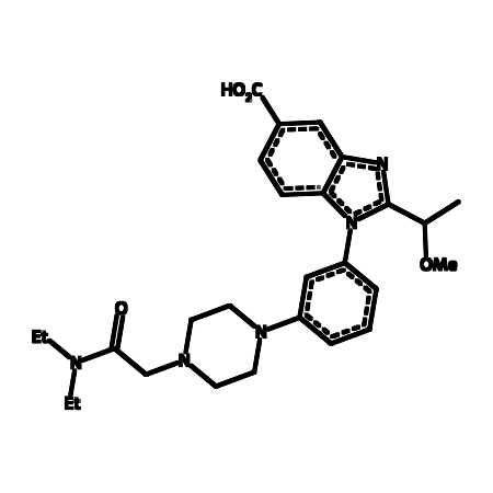 CCN(CC)C(=O)CN1CCN(c2cccc(-n3c(C(C)OC)nc4cc(C(=O)O)ccc43)c2)CC1